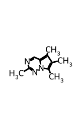 Cc1ncc2c(C)c(C)c(C)n2n1